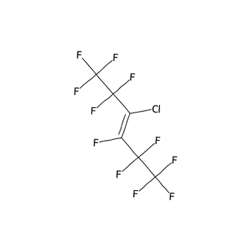 FC(=C(Cl)C(F)(F)C(F)(F)F)C(F)(F)C(F)(F)F